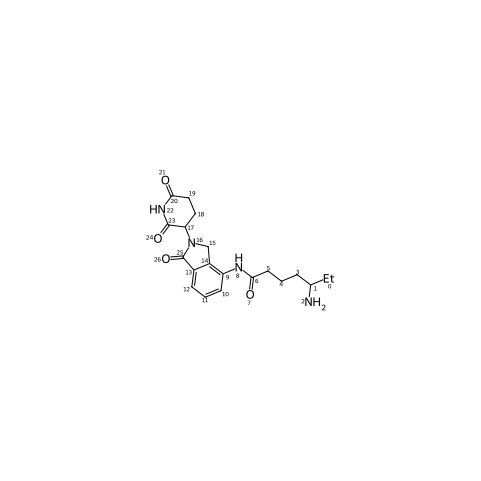 CCC(N)CCCC(=O)Nc1cccc2c1CN(C1CCC(=O)NC1=O)C2=O